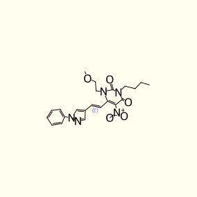 CCCCn1c(=O)c([N+](=O)[O-])c(/C=C/c2cnn(-c3ccccc3)c2)n(CCOC)c1=O